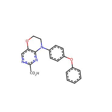 O=C(O)c1ncc2c(n1)N(c1ccc(Oc3ccccc3)cc1)CCO2